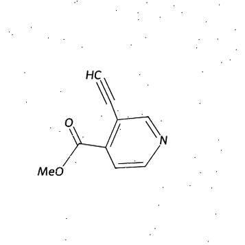 C#Cc1cnccc1C(=O)OC